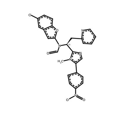 Cn1c(-c2ccc([N+](=O)[O-])cc2)cnc1[C@H](Cc1ccccn1)N(C=O)c1cc2cc(Cl)ccc2o1